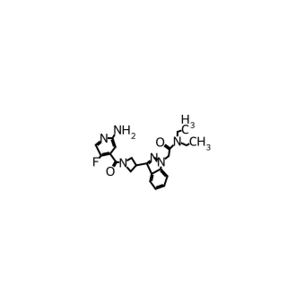 CCN(CC)C(=O)Cn1nc(C2CN(C(=O)c3cc(N)ncc3F)C2)c2ccccc21